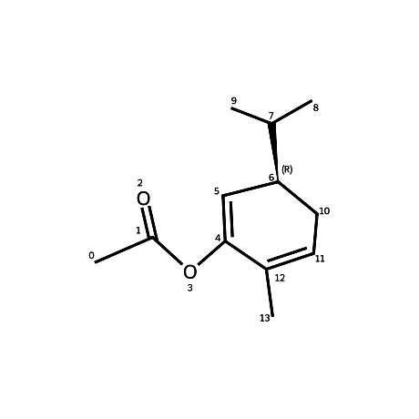 CC(=O)OC1=C[C@@H](C(C)C)CC=C1C